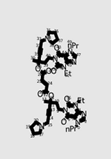 CCCn1cnc2c1c(=O)n(CCC(C)(C#CCN1CCCC1)OC(=O)/C=C/C(=O)OC(C)(C#CCN1CCCC1)CCn1c(=O)c3c(ncn3CCC)n(CC)c1=O)c(=O)n2CC